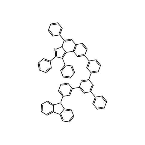 c1ccc(-c2nc(-c3cccc(-c4ccc5cc(-c6ccccc6)n6nc(-c7ccccc7)c(-c7ccccc7)c6c5c4)c3)nc(-c3cccc(-n4c5ccccc5c5ccccc54)c3)n2)cc1